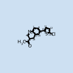 CC(=O)C1[C]=Nc2ccc(-c3ccc(Cl)s3)cc2C1